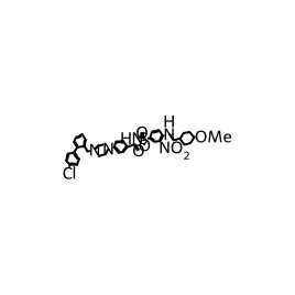 COC1CCC(CNc2ccc(S(=O)(=O)NC(=O)c3ccc(N4CCN(Cc5ccccc5-c5ccc(Cl)cc5)CC4)cc3)cc2[N+](=O)[O-])CC1